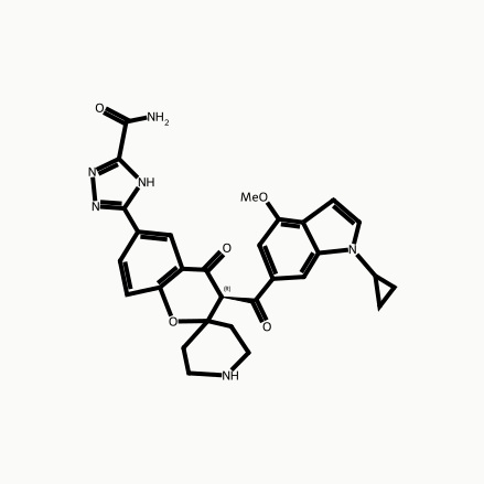 COc1cc(C(=O)[C@@H]2C(=O)c3cc(-c4nnc(C(N)=O)[nH]4)ccc3OC23CCNCC3)cc2c1ccn2C1CC1